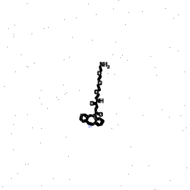 NCCOCCOCCOCCNC(=O)CCC(=O)N1Cc2ccccc2/C=C\c2ccccc21